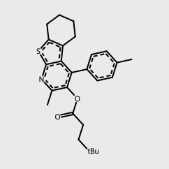 Cc1ccc(-c2c(OC(=O)CCC(C)(C)C)c(C)nc3sc4c(c23)CCCC4)cc1